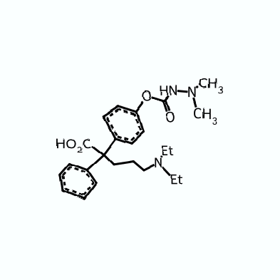 CCN(CC)CCCC(C(=O)O)(c1ccccc1)c1ccc(OC(=O)NN(C)C)cc1